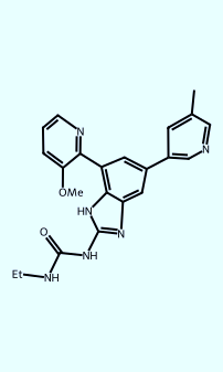 CCNC(=O)Nc1nc2cc(-c3cncc(C)c3)cc(-c3ncccc3OC)c2[nH]1